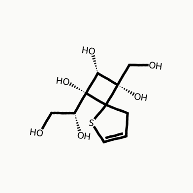 OC[C@@H](O)[C@@]1(O)[C@H](O)[C@@](O)(CO)C12CC=CS2